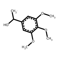 [CH2]C(O)c1cc(OC)c(OC)c(OC)c1